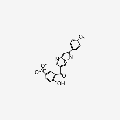 COc1ccc(-c2cc3ncc(C(=O)c4cc([N+](=O)[O-])ccc4O)cn3n2)cc1